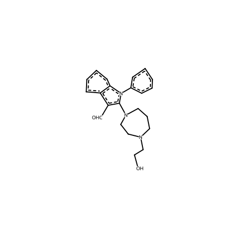 O=Cc1c(N2CCCN(CCO)CC2)n(-c2ccccc2)c2ccccc12